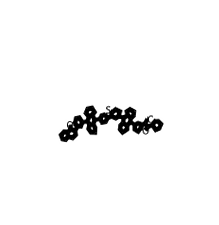 c1ccc2c(c1)ccc1c3cc(-c4c5ccccc5c(-c5ccc6c(c5)sc5ccc(-c7c8ccccc8c(-c8ccc9oc%10c%11ccccc%11ccc%10c9c8)c8ccccc78)cc56)c5ccccc45)ccc3oc21